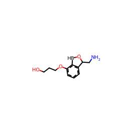 NCC1OBc2c(OCCCO)cccc21